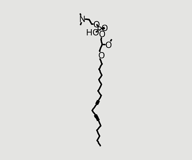 CCCCCC#CCC#CCCCCCCCCOCC(COP(=O)(O)OCCN(C)C)OC